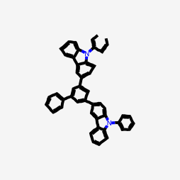 C/C=C\C(=C/C)n1c2ccccc2c2cc(-c3cc(-c4ccccc4)cc(-c4ccc5c(c4)c4ccccc4n5-c4ccccc4)c3)ccc21